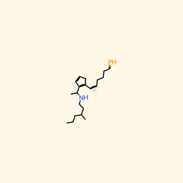 CCCC(C)CCNC(C)C1=C(/C=C\CCCC=P)CC=C1